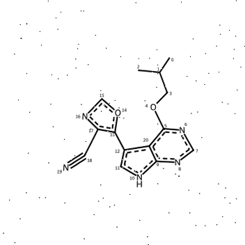 CC(C)COc1ncnc2[nH]cc(-c3ocnc3C#N)c12